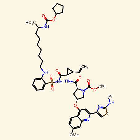 C=C[C@@H]1C[C@]1(NC(=O)[C@@H]1C[C@@H](Oc2cc(-c3csc(NC(C)C)n3)nc3cc(OC)ccc23)CN1C(=O)OC(C)(C)C)C(=O)NS(=O)(=O)c1ccccc1NCCCCCCC[C@H](NC(=O)OC1CCCC1)C(=O)O